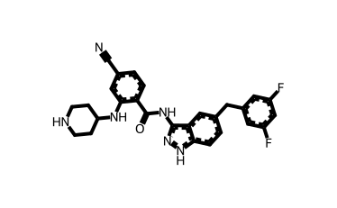 N#Cc1ccc(C(=O)Nc2n[nH]c3ccc(Cc4cc(F)cc(F)c4)cc23)c(NC2CCNCC2)c1